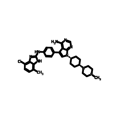 Cc1ccc(Cl)c2nc(Nc3ccc(-c4cn([C@H]5CC[C@H](N6CCN(C)CC6)CC5)c5ncnc(N)c45)cc3)[nH]c12